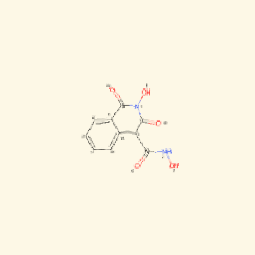 O=C(NO)C1C(=O)N(O)C(=O)c2ccccc21